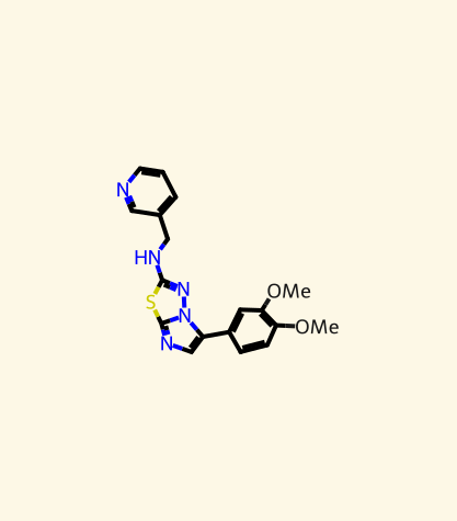 COc1ccc(-c2cnc3sc(NCc4cccnc4)nn23)cc1OC